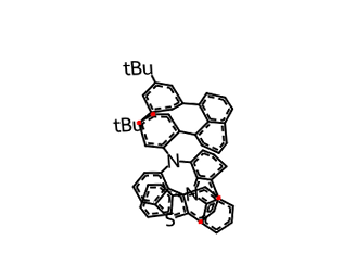 CC(C)(C)c1cc(-c2cccc3cccc(-c4ccccc4N(c4cccc5sc6ccccc6c45)c4cccc5c6ccccc6n(-c6ccccc6)c45)c23)cc(C(C)(C)C)c1